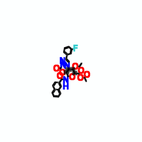 CC(=O)OC[C@H]1OC(NC(=O)c2ccc3ccccc3c2)[C@H](OC(C)=O)[C@@H](n2cc(-c3cccc(F)c3)nn2)[C@H]1OC(C)=O